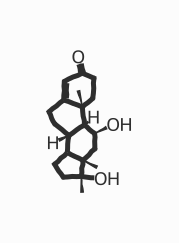 C[C@]12CCC(=O)C=C1CC[C@H]1C3CC[C@@](C)(O)[C@@]3(C)C[C@H](O)[C@@H]12